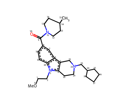 COCCn1c2c(c3cc(C(=O)N4CCC(C)CC4)ccc31)CN(CC1CCCC1)CC2